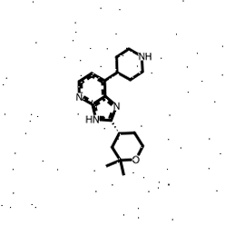 CC1(C)C[C@H](c2nc3c(C4CCNCC4)ccnc3[nH]2)CCO1